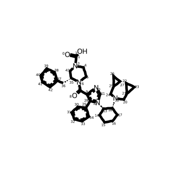 O=C(O)N1CCN(C(=O)c2ncn([C@H]3CCCC[C@H]3N(CC3CC3)CC3CC3)c2-c2ccccc2)[C@H](Cc2ccccc2)C1